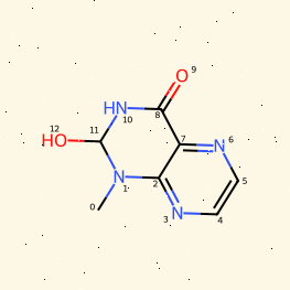 CN1c2nccnc2C(=O)NC1O